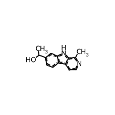 Cc1nccc2c1[nH]c1cc(C(C)O)ccc12